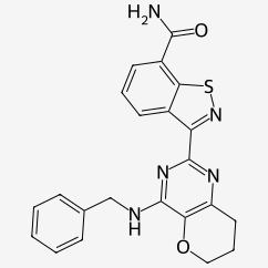 NC(=O)c1cccc2c(-c3nc4c(c(NCc5ccccc5)n3)OCCC4)nsc12